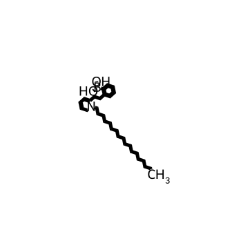 CCCCCCCCCCCCCCCCCCN1CC=CC=C1CCc1ccccc1B(O)O